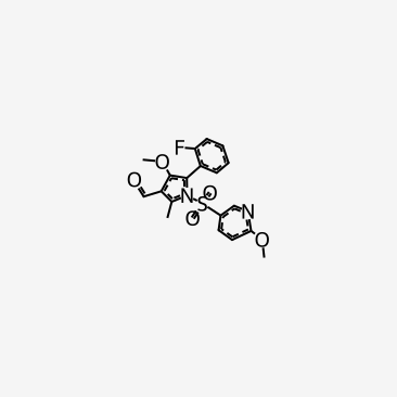 COc1ccc(S(=O)(=O)n2c(C)c(C=O)c(OC)c2-c2ccccc2F)cn1